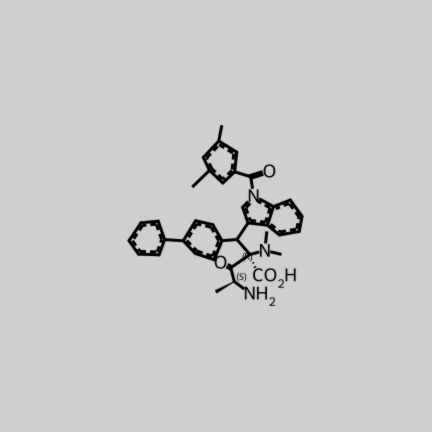 Cc1cc(C)cc(C(=O)n2cc(C(c3ccc(-c4ccccc4)cc3)[C@](C(=O)O)(C(=O)[C@H](C)N)N(C)C)c3ccccc32)c1